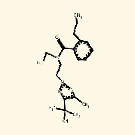 CCCc1ccccc1C(=O)N(CC)CCn1nc(C)c(C(C)(C)O)n1